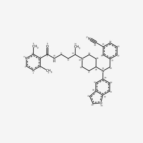 Cc1ncnc(C)c1C(=O)NCCC(C)N1CCC(N(Cc2cccc(C#N)c2)c2ccc3occc3c2)CC1